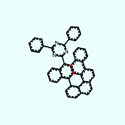 c1ccc(-c2nc(-c3ccccc3)nc(-c3ccc(-c4cccc5ccc6ccc7c8ccccc8ccc7c6c45)c4ccccc34)n2)cc1